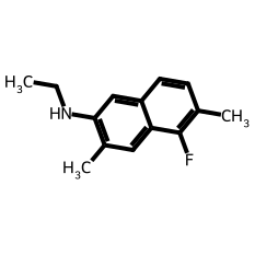 CCNc1cc2ccc(C)c(F)c2cc1C